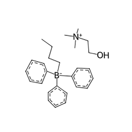 CCCC[B-](c1ccccc1)(c1ccccc1)c1ccccc1.C[N+](C)(C)CCO